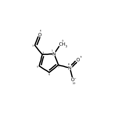 Cn1c(C=O)ccc1[N+](=O)[O-]